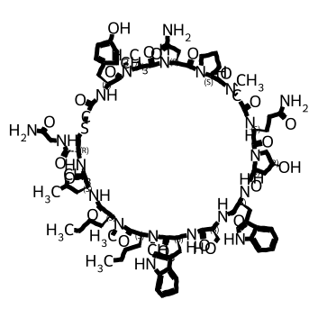 CCCC[C@H]1C(=O)N(C)[C@@H](CCCC)C(=O)N[C@@H](CC(C)C)C(=O)N[C@H](C(=O)NCC(N)=O)CSCC(=O)N[C@@H](Cc2ccc(O)cc2)C(=O)N(C)[C@@H](C)C(=O)N[C@@H](CC(N)=O)C(=O)N2CCC[C@H]2C(=O)N(C)CC(=O)N[C@@H](CCC(N)=O)C(=O)N2C[C@H](O)C[C@H]2C(=O)N[C@@H](Cc2c[nH]c3ccccc23)C(=O)N[C@@H](CO)C(=O)N[C@@H](Cc2c[nH]c3ccccc23)C(=O)N1C